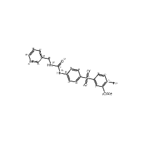 COc1cc(S(=O)(=O)c2ccc(NC(=O)NCc3cccnc3)cc2)ccc1F